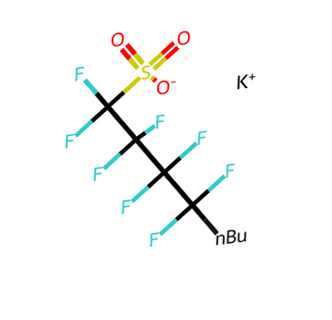 CCCCC(F)(F)C(F)(F)C(F)(F)C(F)(F)S(=O)(=O)[O-].[K+]